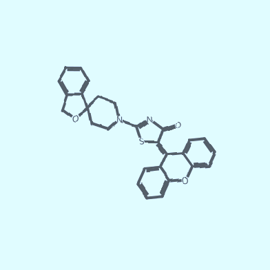 O=C1N=C(N2CCC3(CC2)OCc2ccccc23)SC1=C1c2ccccc2Oc2ccccc21